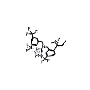 C=C(/N=N\N(C)N)N(Cc1cc(C(F)(F)F)cc(C(F)(F)F)c1)Cc1cc(C(F)(F)F)ccc1C(CC)N(C)C